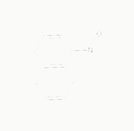 O=Nc1[c]ccc2ccccc12